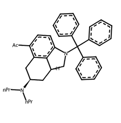 CCCN(CCC)[C@H]1Cc2c(C(C)=O)ccc3c2[C@H](C1)CN3C(c1ccccc1)(c1ccccc1)c1ccccc1